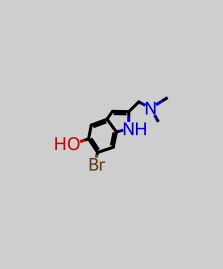 CN(C)Cc1cc2cc(O)c(Br)cc2[nH]1